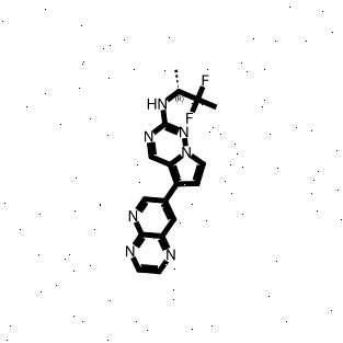 C[C@@H](Nc1ncc2c(-c3cnc4nccnc4c3)ccn2n1)C(C)(F)F